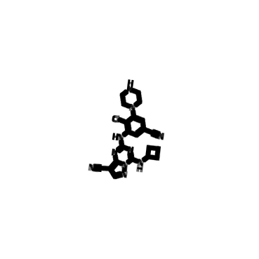 N#Cc1cc(Nc2nc(NC3CCC3)n3ncc(C#N)c3n2)c(Cl)c(N2CCNCC2)c1